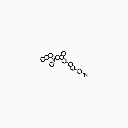 N#Cc1ccc(-c2ccc3cc(-c4ccc5c(c4)c4ccccc4c4cc6c7ccc8cc9ccccc9cc8c7n(-c7ccccc7)c6cc54)ccc3c2)cc1